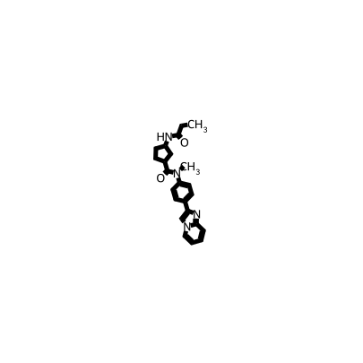 CCC(=O)NC1CCC(C(=O)N(C)c2ccc(-c3cn4ccccc4n3)cc2)C1